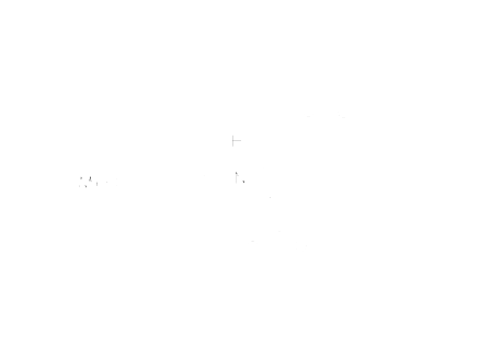 COc1ccc(N2[C@@H]3C(=O)OCCC/C=C\CCCOC[C@@H]32)cc1